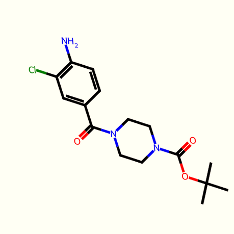 CC(C)(C)OC(=O)N1CCN(C(=O)c2ccc(N)c(Cl)c2)CC1